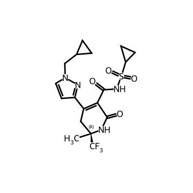 C[C@]1(C(F)(F)F)CC(c2ccn(CC3CC3)n2)=C(C(=O)NS(=O)(=O)C2CC2)C(=O)N1